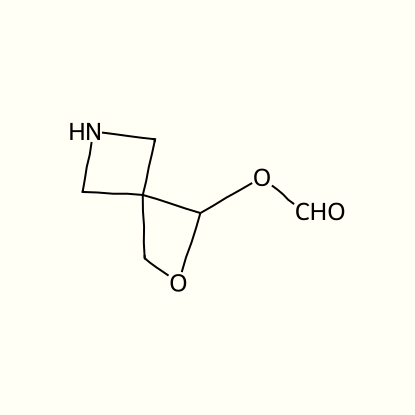 O=COC1OCC12CNC2